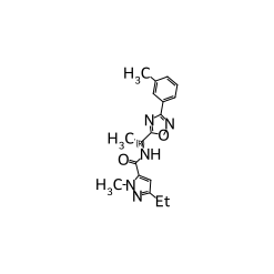 CCc1cc(C(=O)N[C@H](C)c2nc(-c3cccc(C)c3)no2)n(C)n1